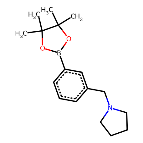 CC1(C)OB(c2cccc(CN3CCCC3)c2)OC1(C)C